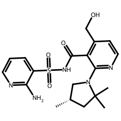 C[C@@H]1CN(c2nccc(CO)c2C(=O)NS(=O)(=O)c2cccnc2N)C(C)(C)C1